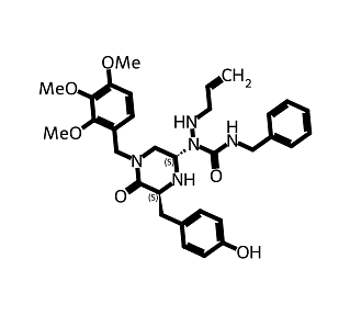 C=CCNN(C(=O)NCc1ccccc1)[C@H]1CN(Cc2ccc(OC)c(OC)c2OC)C(=O)[C@H](Cc2ccc(O)cc2)N1